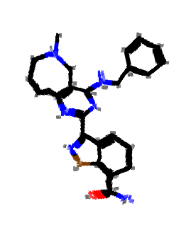 CN1CCCc2nc(-c3nsc4c(C(N)=O)cccc34)nc(NCc3ccccc3)c2C1